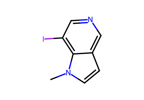 Cn1ccc2cncc(I)c21